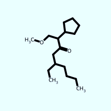 CCCCC(CC)CC(=O)C(COC)C1CCCC1